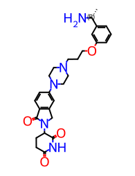 C[C@@H](N)c1cccc(OCCCN2CCN(c3ccc4c(c3)CN(C3CCC(=O)NC3=O)C4=O)CC2)c1